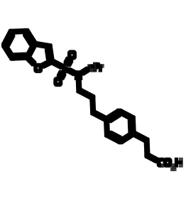 CCCN(CCCc1ccc(CCC(=O)O)cc1)S(=O)(=O)c1cc2ccccc2o1